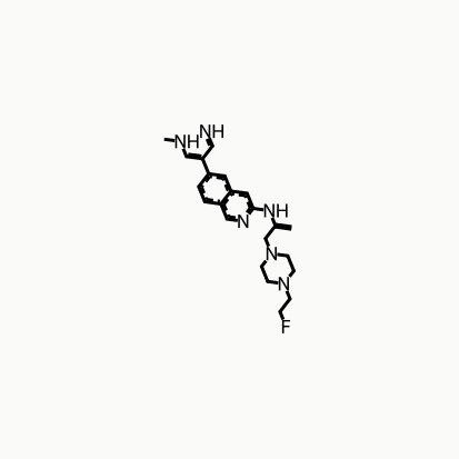 C=C(CN1CCN(CCF)CC1)Nc1cc2cc(/C(C=N)=C/NC)ccc2cn1